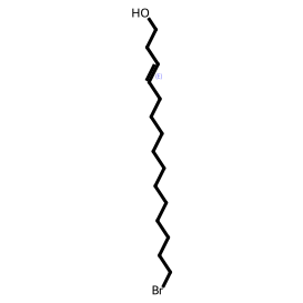 OCC/C=C/CCCCCCCCCCCBr